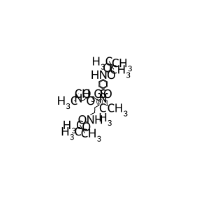 CC(C)CN([C@@H](CCCCNC(=O)OC(C)(C)C)COC(=O)CN(C)C)S(=O)(=O)c1ccc(NC(=O)OC(C)(C)C)cc1